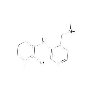 CNCc1ccccc1Pc1cccc(C)c1O